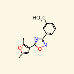 Cc1cc(-c2nc(-c3cccc(C(=O)O)c3)no2)c(C)o1